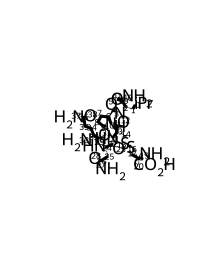 CC(C)C[C@H](NC(=O)[C@@H]1CCCN1C(=O)[C@H](CSSC[C@H](N)C(=O)O)NC(=O)[C@H](CC(N)=O)NC(=O)[C@@H](N)CCC(N)=O)C(N)=O